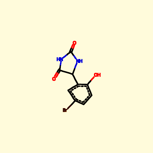 O=C1NC(=O)C(c2cc(Br)ccc2O)N1